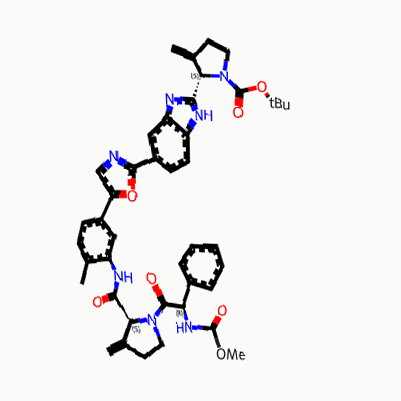 C=C1CCN(C(=O)[C@H](NC(=O)OC)c2ccccc2)[C@@H]1C(=O)Nc1cc(-c2cnc(-c3ccc4[nH]c([C@@H]5C(=C)CCN5C(=O)OC(C)(C)C)nc4c3)o2)ccc1C